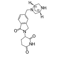 O=C1CCC(N2Cc3cc(CN4C[C@@H]5C[C@H]4CN5)ccc3C2=O)C(=O)N1